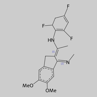 C/N=C1\C(=C(/C)NC2=C(F)C=C(F)CC2F)Cc2cc(OC)c(OC)cc21